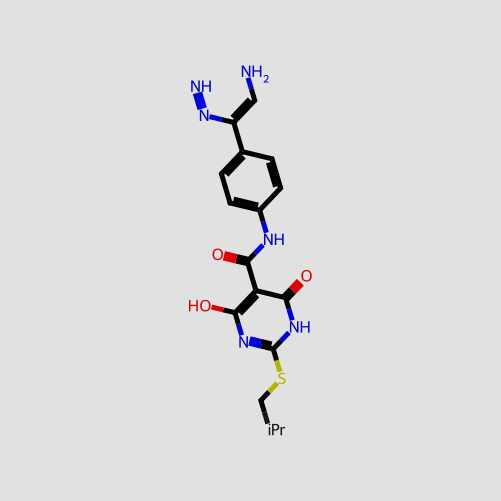 CC(C)CSc1nc(O)c(C(=O)Nc2ccc(/C(=C/N)N=N)cc2)c(=O)[nH]1